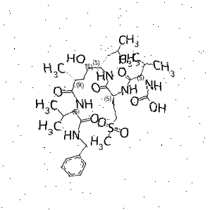 CC(C)C[C@H](NC(=O)[C@H](CCS(C)(=O)=O)NC(=O)[C@@H](NC(=O)O)C(C)C)[C@@H](O)C[C@@H](C)C(=O)N[C@H](C(=O)NCc1ccccc1)C(C)C